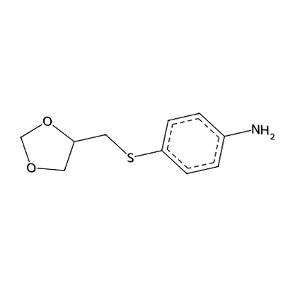 Nc1ccc(SCC2COCO2)cc1